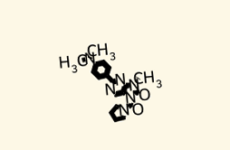 CN(C)c1ccc(-c2ncc3c(n2)n(C)c(=O)n3C(=O)N2CCCC2)cc1